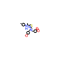 C=C(Nc1ccc(C)cc1)c1csc(CN(Cc2ccc(OC)cc2)Cc2ccc3c(c2)OCO3)n1